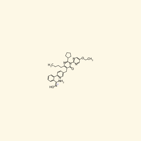 CCCCc1nc(C2CCCC2)n(-c2ncc(OCC)cn2)c(=O)c1Cc1ccc(-c2ccccc2/C(N)=N\O)nc1